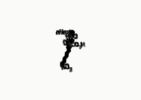 CCCCCCCOC(=O)SCC(NC(=O)OCCCCCCO[N+](=O)[O-])C(=O)O